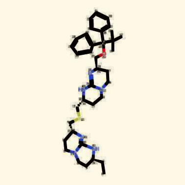 CC[C@H]1CCN2CC[C@H](CSC[C@H]3CCN4CC[C@H](CO[Si](c5ccccc5)(c5ccccc5)C(C)(C)C)N=C4N3)N=C2N1